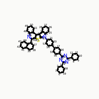 c1ccc(-c2nc(-c3ccccc3)nc(-c3ccc(-c4ccc(-n5c6ccccc6c6c7c(sc65)c(-c5cccc6ccccc56)nc5ccccc57)cc4)cc3)n2)cc1